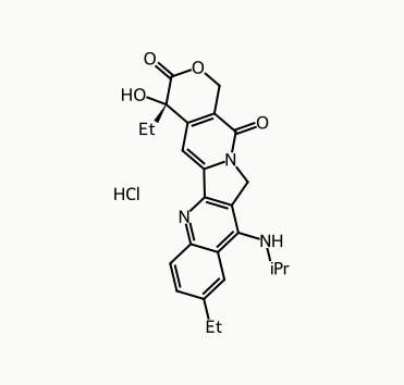 CCc1ccc2nc3c(c(NC(C)C)c2c1)Cn1c-3cc2c(c1=O)COC(=O)[C@]2(O)CC.Cl